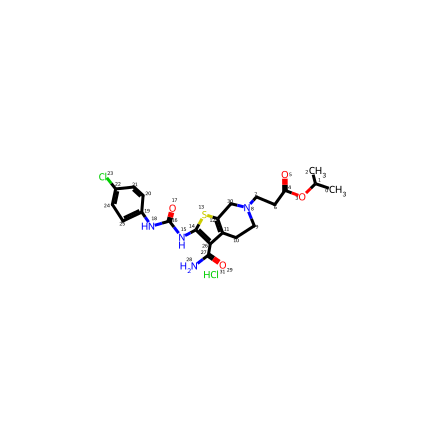 CC(C)OC(=O)CCN1CCc2c(sc(NC(=O)Nc3ccc(Cl)cc3)c2C(N)=O)C1.Cl